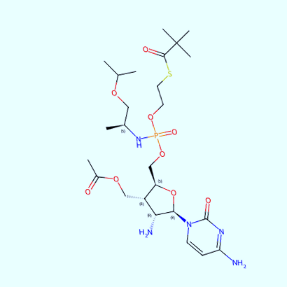 CC(=O)OC[C@H]1[C@@H](N)[C@H](n2ccc(N)nc2=O)O[C@@H]1COP(=O)(N[C@@H](C)COC(C)C)OCCSC(=O)C(C)(C)C